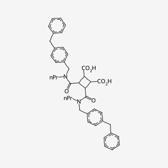 CCCN(Cc1ccc(Cc2ccccc2)cc1)C(=O)C1C(C(=O)O)C(C(=O)O)C1C(=O)N(CCC)Cc1ccc(Cc2ccccc2)cc1